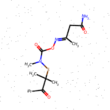 C/C(CC(N)=O)=N\OC(=O)N(C)SC(C)(C)C(=O)C(C)C